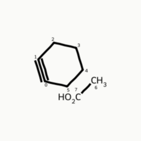 C1#CCCCC1.CC(=O)O